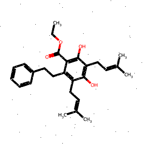 CCOC(=O)c1c(O)c(CC=C(C)C)c(O)c(CC=C(C)C)c1CCc1ccccc1